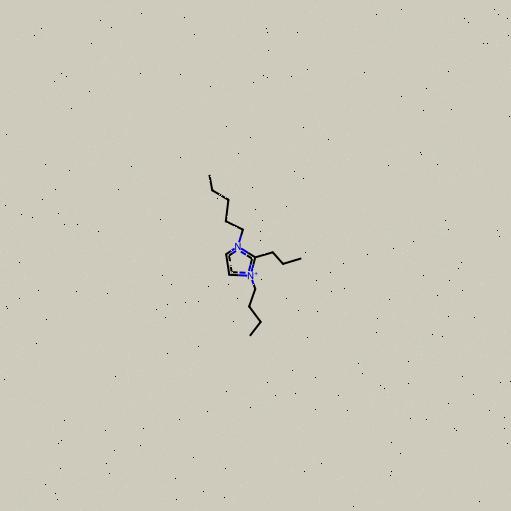 CCCCCn1cc[n+](CCCC)c1CCC